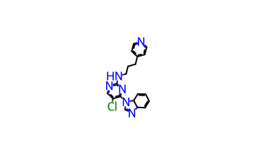 Clc1cnc(NCCCc2ccncc2)nc1N1C=NC2C=CC=CC21